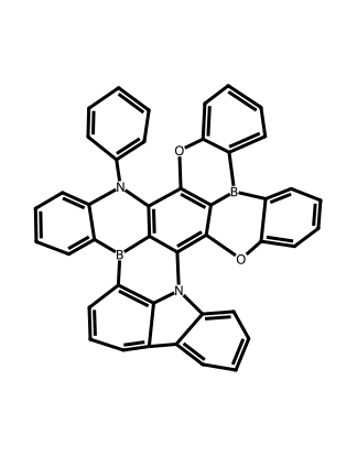 c1ccc(N2c3ccccc3B3c4c2c2c5c(c4-n4c6ccccc6c6cccc3c64)Oc3ccccc3B5c3ccccc3O2)cc1